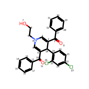 O=C(C1=CN(CCO)C=C(C(=O)c2ccccc2)C1c1ccc(Cl)cc1Cl)c1ccccc1